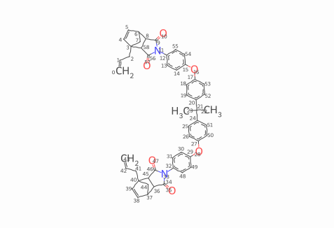 C=CCC12C=CC(C1)C1C(=O)N(c3ccc(Oc4ccc(C(C)(C)c5ccc(Oc6ccc(N7C(=O)C8C9C=CC(CC=C)(C9)C8C7=O)cc6)cc5)cc4)cc3)C(=O)C12